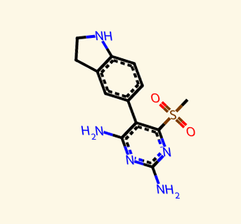 CS(=O)(=O)c1nc(N)nc(N)c1-c1ccc2c(c1)CCN2